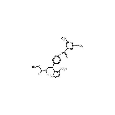 CN(CC(c1ccc(OC(=O)c2cc([N+](=O)[O-])cc([N+](=O)[O-])c2)cc1)c1nccn1C(=O)O)C(=O)OC(C)(C)C